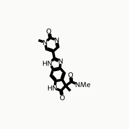 CNC(=O)C1(C)C(=O)Nc2cc3[nH]c(-c4cnc(=O)n(C)c4)nc3cc21